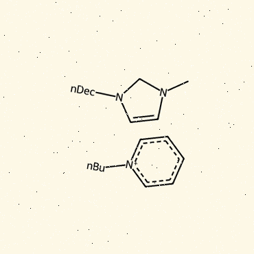 CCCCCCCCCCN1C=CN(C)C1.CCCC[n+]1ccccc1